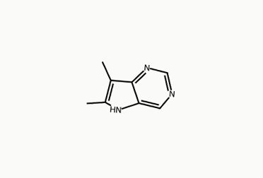 Cc1[nH]c2cncnc2c1C